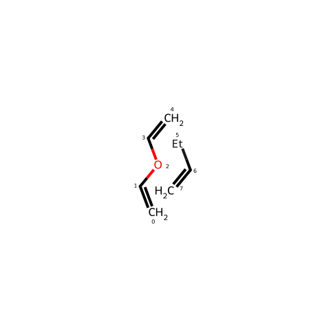 C=COC=C.[CH2]CC=C